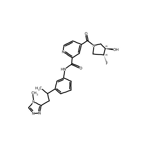 CC(Cc1nncn1C)c1cccc(NC(=O)c2cc(C(=O)N3C[C@@H](O)[C@H](F)C3)ccn2)c1